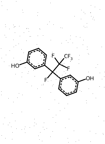 Oc1cccc(C(F)(c2cccc(O)c2)C(F)(F)C(F)(F)F)c1